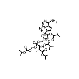 CC(C)OC(=O)OCOP(=O)(N[C@@H](C)C(=O)OC(C)C)OC[C@H]1O[C@@](C#N)(c2ccc3c(N)ncnn23)[C@H](OC(=O)C(C)C)[C@@H]1OC(=O)C(C)C